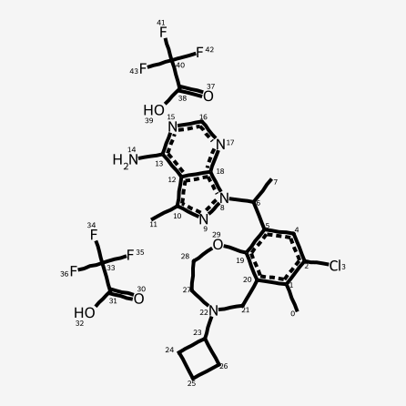 Cc1c(Cl)cc(C(C)n2nc(C)c3c(N)ncnc32)c2c1CN(C1CCC1)CCO2.O=C(O)C(F)(F)F.O=C(O)C(F)(F)F